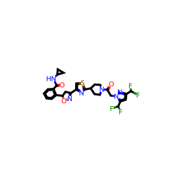 O=C(NC1CC1)c1ccccc1C1CC(c2csc(C3CCN(C(=O)Cn4nc(C(F)F)cc4C(F)F)CC3)n2)=NO1